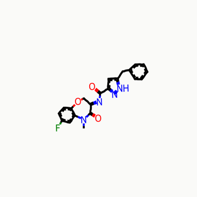 CN1C(=O)/C(=N/C(=O)c2cc(Cc3ccccc3)[nH]n2)COc2ccc(F)cc21